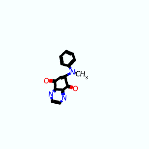 CN(C1=CC(=O)c2nccnc2C1=O)c1ccccc1